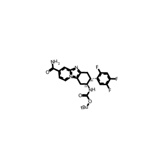 CC(C)(C)OC(=O)N[C@H]1Cc2c(nc3cc(C(N)=O)ccn23)C[C@@H]1c1cc(F)c(F)cc1F